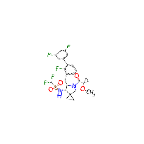 COC1(C(=O)N2CC3(CC3)C(NS(=O)(=O)C(F)F)C2Cc2cccc(-c3cc(F)cc(F)c3)c2F)CC1